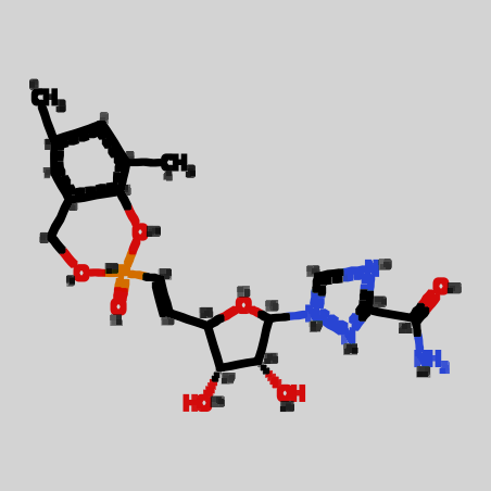 Cc1cc(C)c2c(c1)COP(=O)(/C=C/C1OC(n3cnc(C(N)=O)n3)[C@H](O)[C@@H]1O)O2